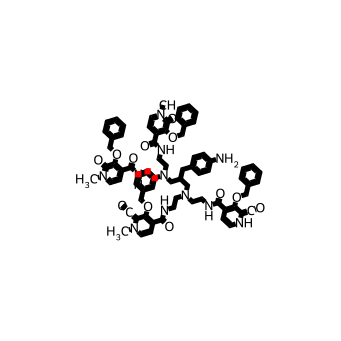 CN1C=CC(C(=O)NCCN(CCNC(=O)C2=C(OCc3ccccc3)C(=C=O)NC=C2)CC(Cc2ccc(N)cc2)CN(CCNC(=O)c2ccn(C)c(=O)c2OCc2ccccc2)CCNC(=O)c2ccn(C)c(=O)c2OCc2ccccc2)=C(OCc2ccccc2)C1=C=O